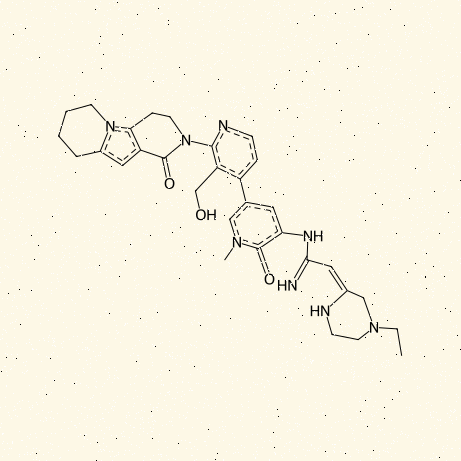 CCN1CCN/C(=C\C(=N)Nc2cc(-c3ccnc(N4CCc5c(cc6n5CCCC6)C4=O)c3CO)cn(C)c2=O)C1